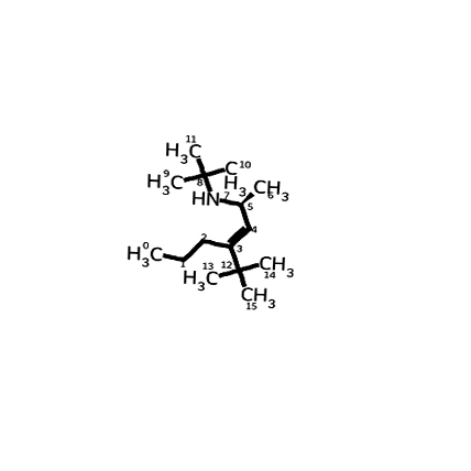 CCC/C(=C\[C@H](C)NC(C)(C)C)C(C)(C)C